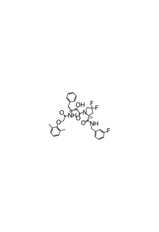 Cc1cccc(C)c1OCC(=O)N[C@@H](Cc1ccccc1)[C@H](O)C(=O)N1CC(F)(F)C[C@H]1C(=O)NCc1cccc(F)c1